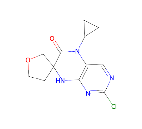 O=C1N(C2CC2)c2cnc(Cl)nc2NC12CCOC2